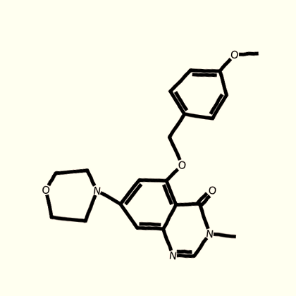 COc1ccc(COc2cc(N3CCOCC3)cc3ncn(C)c(=O)c23)cc1